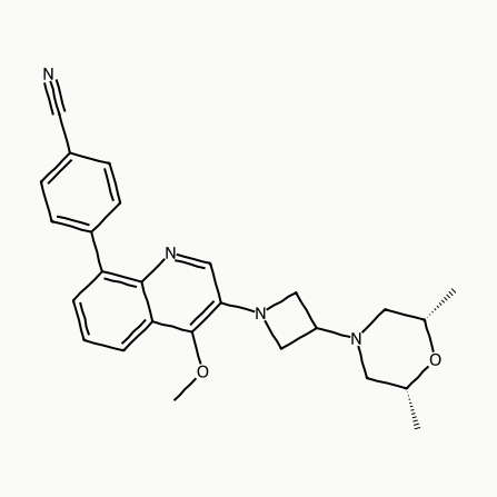 COc1c(N2CC(N3C[C@@H](C)O[C@@H](C)C3)C2)cnc2c(-c3ccc(C#N)cc3)cccc12